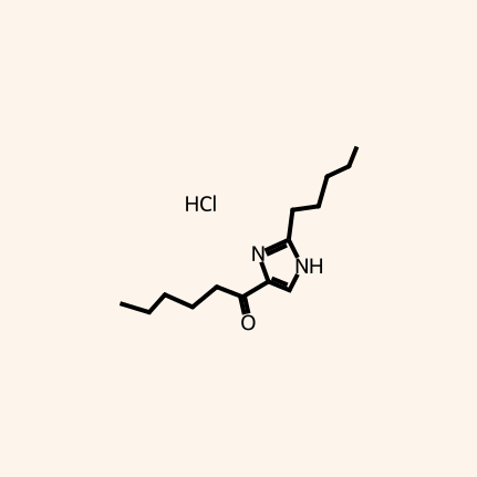 CCCCCC(=O)c1c[nH]c(CCCCC)n1.Cl